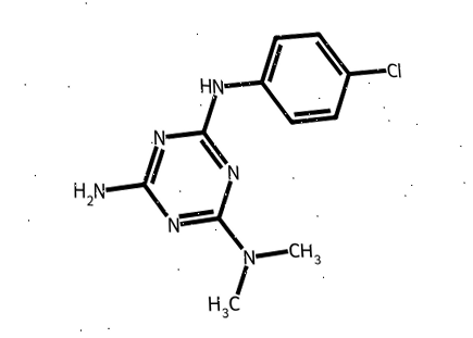 CN(C)c1nc(N)nc(Nc2ccc(Cl)cc2)n1